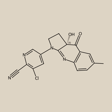 Cc1ccc2c(c1)C(=O)[C@]1(O)CCN(c3cnc(C#N)c(Cl)c3)C1=N2